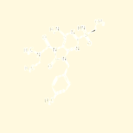 CCN(C)C(=O)n1c(=O)n(Cc2ccc(C)cc2)c2nc([S@](=N)(=O)CC)nc(N)c21